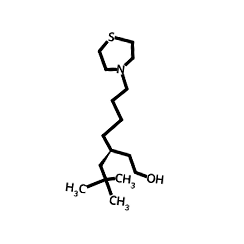 CC(C)(C)C[C@H](CCO)CCCCN1CCSCC1